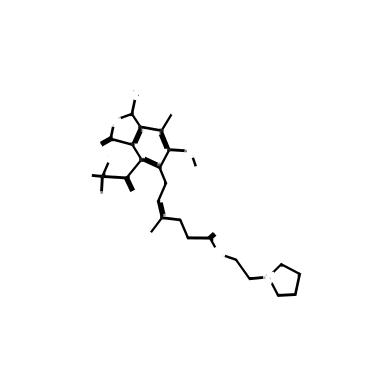 COc1c(C)c2c(c(C(=O)C(F)(Cl)Cl)c1CC=C(C)CCC(=O)OCCN1CCCC1)C(=O)OC2N